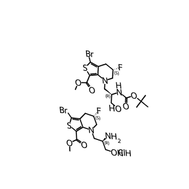 COC(=O)c1sc(Br)c2c1N(C[C@@H](N)CO)C[C@@H](F)C2.COC(=O)c1sc(Br)c2c1N(C[C@H](CO)NC(=O)OC(C)(C)C)C[C@@H](F)C2.Cl